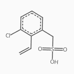 C=Cc1c(Cl)cccc1CS(=O)(=O)O